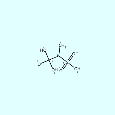 CC(C(O)(O)O)S(=O)(=O)O